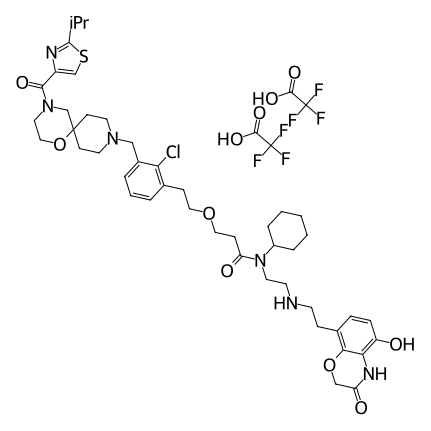 CC(C)c1nc(C(=O)N2CCOC3(CCN(Cc4cccc(CCOCCC(=O)N(CCNCCc5ccc(O)c6c5OCC(=O)N6)C5CCCCC5)c4Cl)CC3)C2)cs1.O=C(O)C(F)(F)F.O=C(O)C(F)(F)F